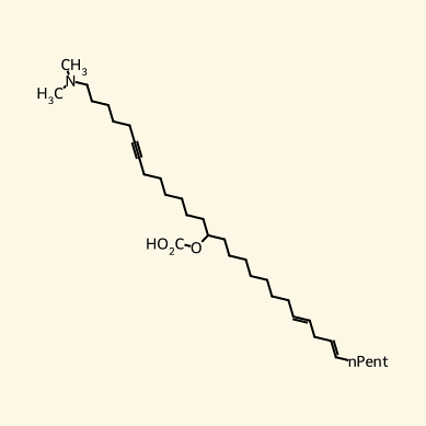 CCCCCC=CCC=CCCCCCCCC(CCCCCCC#CCCCCCN(C)C)OC(=O)O